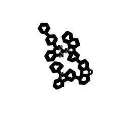 c1ccc(-c2ccc(-c3nc(-n4c5ccc(-c6ccc7oc8cccc(-c9ccc%10c(c9)c9ccccc9n%10-c9ccccc9)c8c7c6)cc5c5ccc6ccccc6c54)nc4ccccc34)cc2)cc1